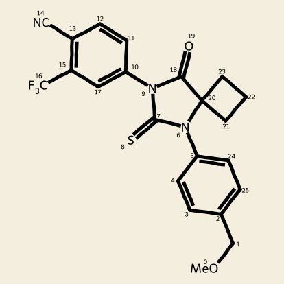 COCc1ccc(N2C(=S)N(c3ccc(C#N)c(C(F)(F)F)c3)C(=O)C23CCC3)cc1